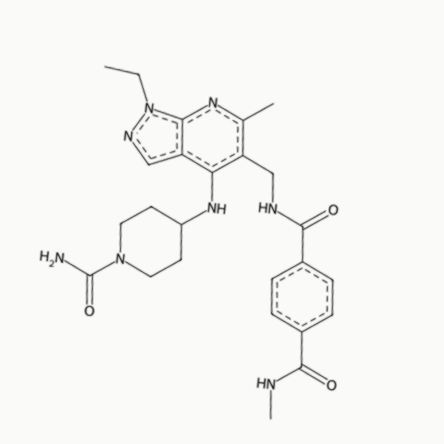 CCn1ncc2c(NC3CCN(C(N)=O)CC3)c(CNC(=O)c3ccc(C(=O)NC)cc3)c(C)nc21